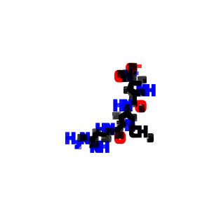 Cn1cc(NC(=O)c2cc([N+](=O)[O-])c[nH]2)cc1C(=O)NCCC(=N)N